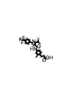 Cc1cc(NC(=O)c2sc(-c3ccc(C(F)(F)F)cc3)nc2C(C)C)ccc1CCC(=O)O